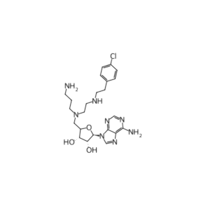 NCCCN(CCNCCc1ccc(Cl)cc1)CC1O[C@@H](n2cnc3c(N)ncnc32)[C@H](O)[C@@H]1O